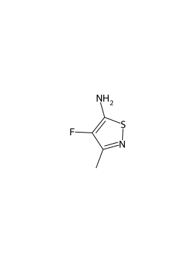 Cc1nsc(N)c1F